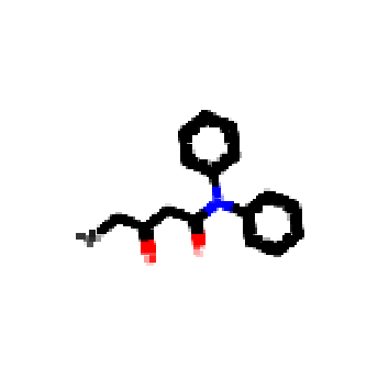 CCC(=O)CC(=O)N(c1ccccc1)c1ccccc1